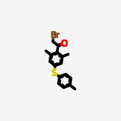 Cc1ccc(Sc2cc(C)c(C(=O)CBr)c(C)c2)cc1